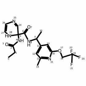 CCC(=O)NC1(C(=O)NC(C)c2cc(C)nc(OCC(F)(F)F)c2)C=NC=CN1